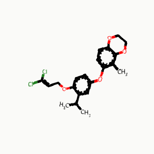 Cc1c(Oc2ccc(OCC=C(Cl)Cl)c(C(C)C)c2)ccc2c1OCCO2